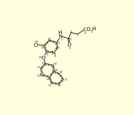 O=C(O)CCC(=O)Nc1cnc(Oc2cnc3ccccc3c2)c(Cl)c1